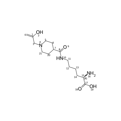 C=C(O)CN1CCC(C(=O)NCCCC[C@@H](N)C(=O)O)CC1